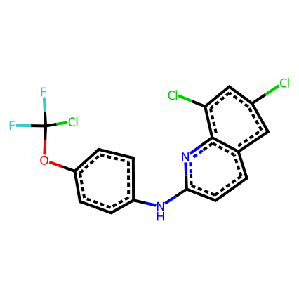 FC(F)(Cl)Oc1ccc(Nc2ccc3cc(Cl)cc(Cl)c3n2)cc1